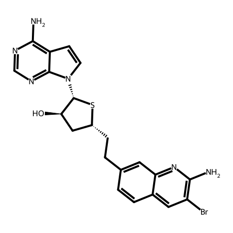 Nc1nc2cc(CC[C@@H]3C[C@@H](O)[C@H](n4ccc5c(N)ncnc54)S3)ccc2cc1Br